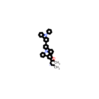 C=C/C=C\c1c(C)oc2ccc(-c3ccccc3-n3c4ccccc4c4cc(-c5ccc6c(c5)c5ccccc5n6-c5ccccc5)ccc43)cc12